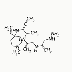 C=C=C(NC1(C=C)CCN(C)CC1)C(C)NC(=C)CNC(=C)CNN